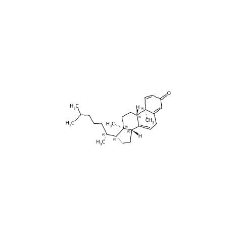 CC(C)CCC[C@@H](C)[C@H]1CC[C@H]2C3=CCC4=CC(=O)C=C[C@]4(C)[C@H]3CC[C@]12C